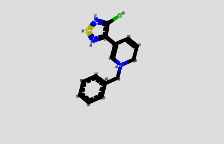 Clc1nsnc1C1=CN(Cc2ccccc2)CC=C1